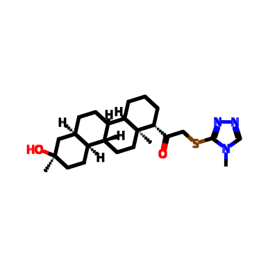 Cn1cnnc1SCC(=O)[C@H]1CCC[C@H]2[C@@H]3CC[C@@H]4C[C@](C)(O)CC[C@@H]4[C@H]3CC[C@]12C